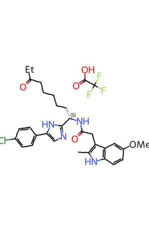 CCC(=O)CCCCC[C@H](NC(=O)Cc1c(C)[nH]c2ccc(OC)cc12)c1ncc(-c2ccc(Cl)cc2)[nH]1.O=C(O)C(F)(F)F